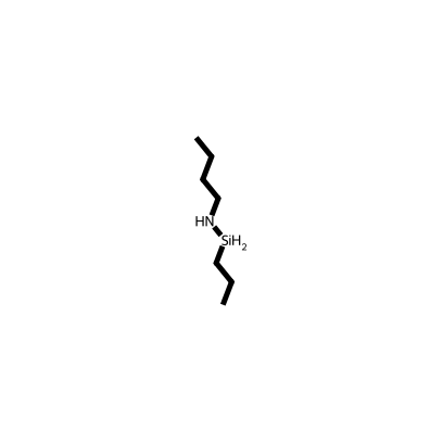 CCCCN[SiH2]CCC